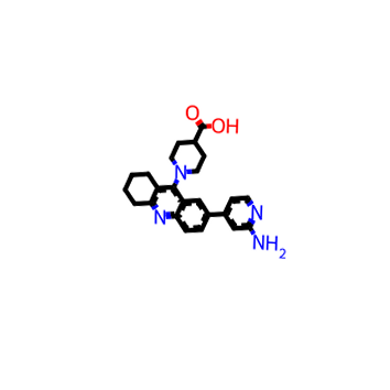 Nc1cc(-c2ccc3nc4c(c(N5CCC(C(=O)O)CC5)c3c2)CCCC4)ccn1